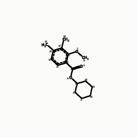 COc1c(C(=O)OC2CCCCC2)ccc(C)c1C